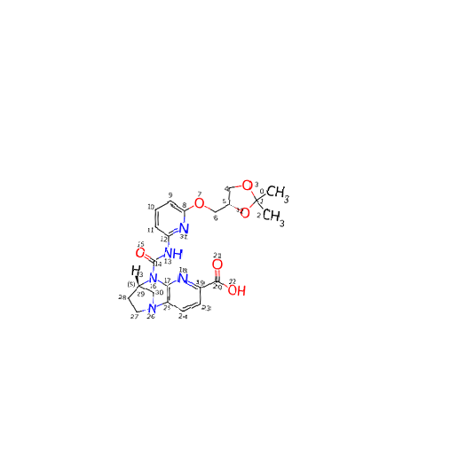 CC1(C)OCC(COc2cccc(NC(=O)N3c4nc(C(=O)O)ccc4N4CC[C@H]3C4)n2)O1